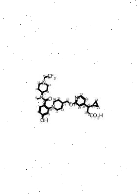 CN(C(=O)c1ccc(O)cc1N1CCC(COc2cc(C(CC(=O)O)C3CC3)ccn2)CC1)C1CCN(CC(F)(F)F)CC1